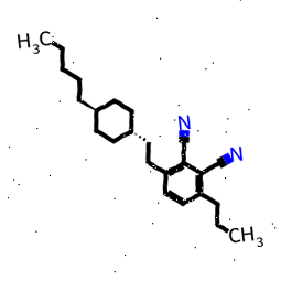 CCCCC[C@H]1CC[C@H](CCc2ccc(CCC)c(C#N)c2C#N)CC1